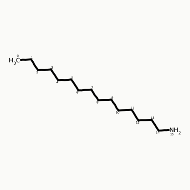 CCCCCCCCCCC[CH]CCCN